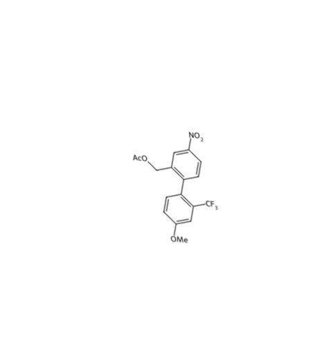 COc1ccc(-c2ccc([N+](=O)[O-])cc2COC(C)=O)c(C(F)(F)F)c1